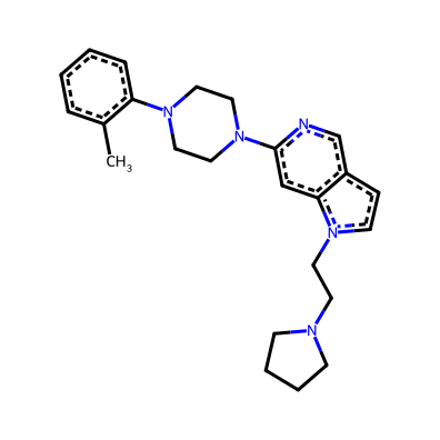 Cc1ccccc1N1CCN(c2cc3c(ccn3CCN3CCCC3)cn2)CC1